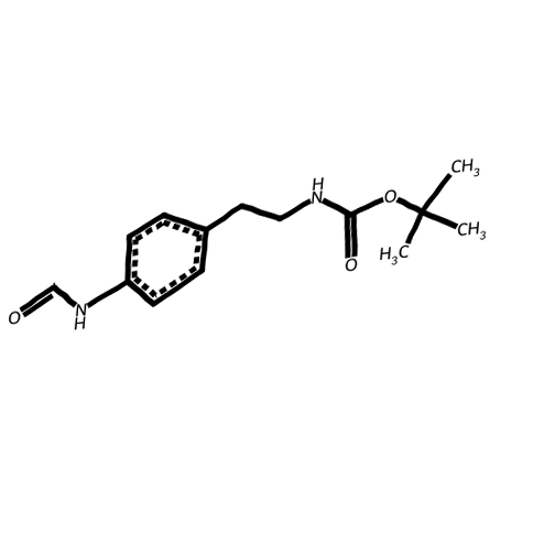 CC(C)(C)OC(=O)NCCc1ccc(N[C]=O)cc1